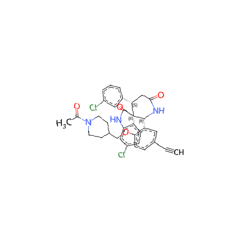 C#Cc1ccc(OCC2CCN(C(C)=O)CC2)c([C@H]2NC(=O)C[C@@H](c3cccc(Cl)c3)[C@]23C(=O)Nc2cc(Cl)ccc23)c1